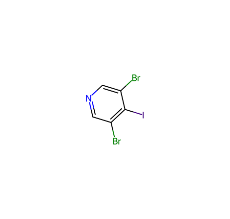 Brc1cncc(Br)c1I